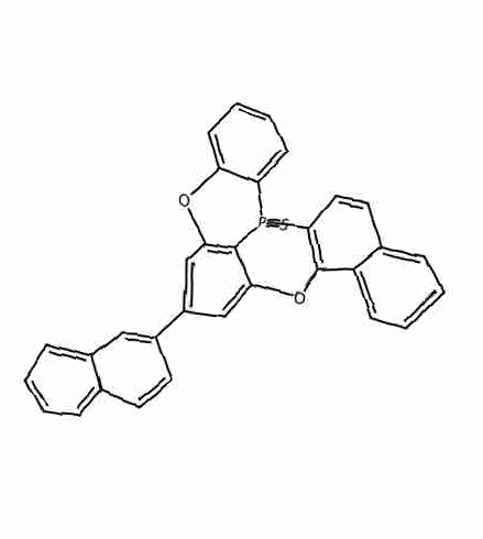 S=P12c3ccccc3Oc3cc(-c4ccc5ccccc5c4)cc(c31)Oc1c2ccc2ccccc12